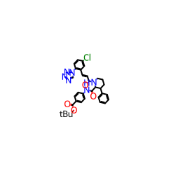 CC(C)(C)OC(=O)c1ccc(NC(=O)C2C(c3ccccc3)CCCN2C(=O)C=Cc2cc(Cl)ccc2-n2cnnn2)cc1